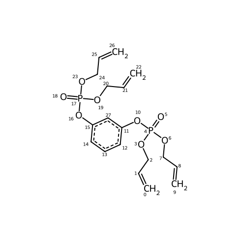 C=CCOP(=O)(OCC=C)Oc1cccc(OP(=O)(OCC=C)OCC=C)c1